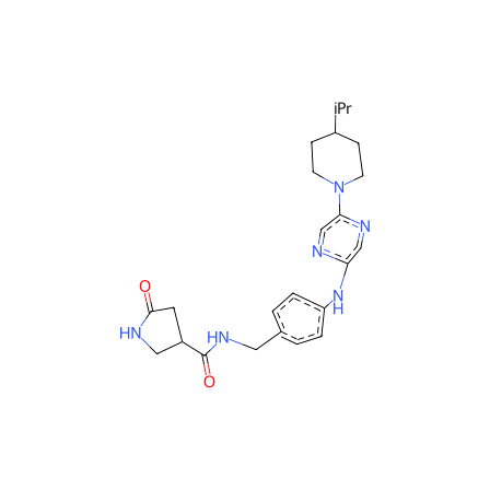 CC(C)C1CCN(c2cnc(Nc3ccc(CNC(=O)C4CNC(=O)C4)cc3)cn2)CC1